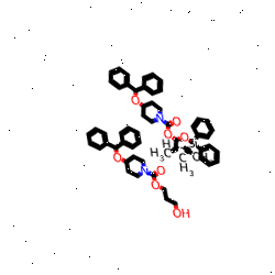 CCC(OC(=O)N1CCC(OC(c2ccccc2)c2ccccc2)CC1)O[Si](c1ccccc1)(c1ccccc1)C(C)(C)C.O=C(OCCCO)N1CCC(OC(c2ccccc2)c2ccccc2)CC1